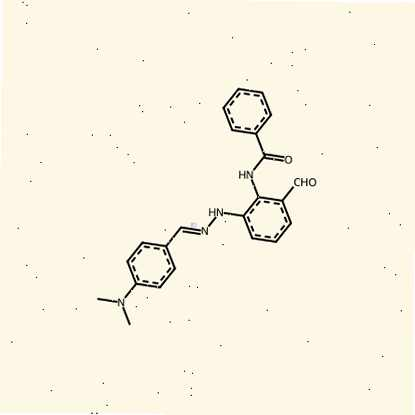 CN(C)c1ccc(/C=N/Nc2cccc(C=O)c2NC(=O)c2ccccc2)cc1